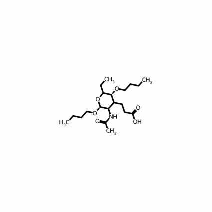 CCCCO[C@H]1OC(CC)[C@@H](OCCCC)C(CCC(=O)O)C1NC(C)=O